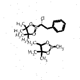 CB1OC(C)C(C)(C)O1.CC1(C)OB([C@H](Cl)Cc2ccccc2)OC1(C)C